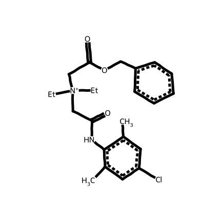 CC[N+](CC)(CC(=O)Nc1c(C)cc(Cl)cc1C)CC(=O)OCc1ccccc1